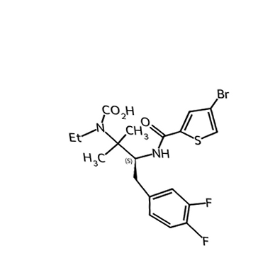 CCN(C(=O)O)C(C)(C)[C@H](Cc1ccc(F)c(F)c1)NC(=O)c1cc(Br)cs1